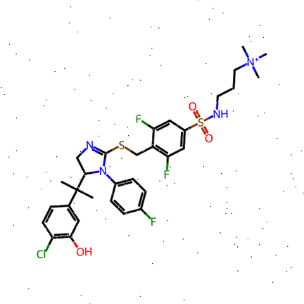 CC(C)(c1ccc(Cl)c(O)c1)C1CN=C(SCc2c(F)cc(S(=O)(=O)NCCC[N+](C)(C)C)cc2F)N1c1ccc(F)cc1